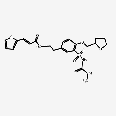 CNC(=S)NS(=O)(=O)c1cc(CCNC(=O)C=Cc2cccs2)ccc1OCC1CCCO1